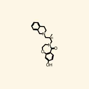 C[C@H](CN1CCc2ccccc2C1)CN1CCOc2cc(O)ccc2C1=O